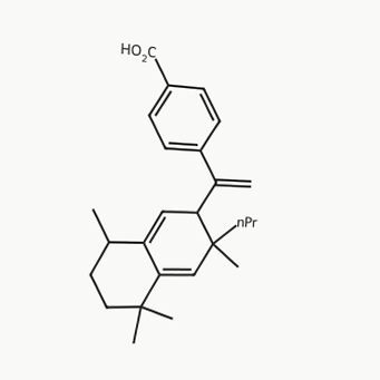 C=C(c1ccc(C(=O)O)cc1)C1C=C2C(=CC1(C)CCC)C(C)(C)CCC2C